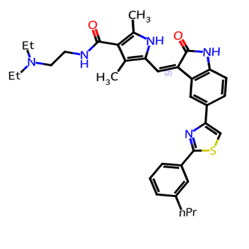 CCCc1cccc(-c2nc(-c3ccc4c(c3)/C(=C/c3[nH]c(C)c(C(=O)NCCN(CC)CC)c3C)C(=O)N4)cs2)c1